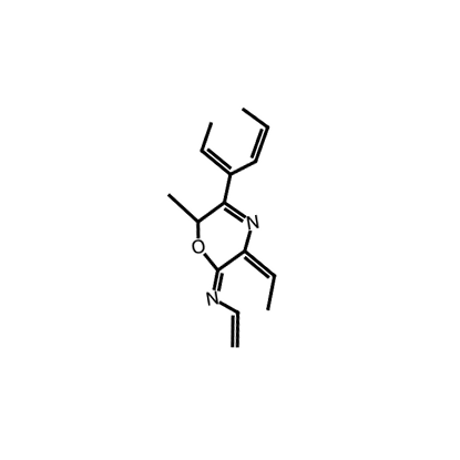 C=C/N=C1/OC(C)C(C(/C=C\C)=C/C)=N/C1=C/C